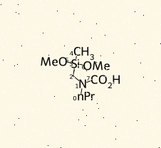 CCCN(C[Si](C)(OC)OC)C(=O)O